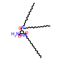 CCCCCCCCCCCCCCCCCCNC(=O)[C@H]1CC(C(N)=O)C[C@@H](C(=O)N(CCCCCCCCCCCCCCCCCC)CCCCCCCCCCCCCCCCCC)C1